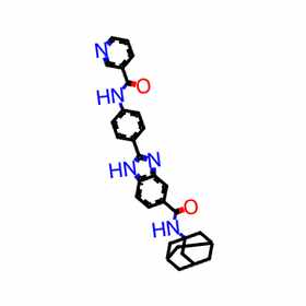 O=C(Nc1ccc(-c2nc3cc(C(=O)NC45CC6CC(CC(C6)C4)C5)ccc3[nH]2)cc1)c1cccnc1